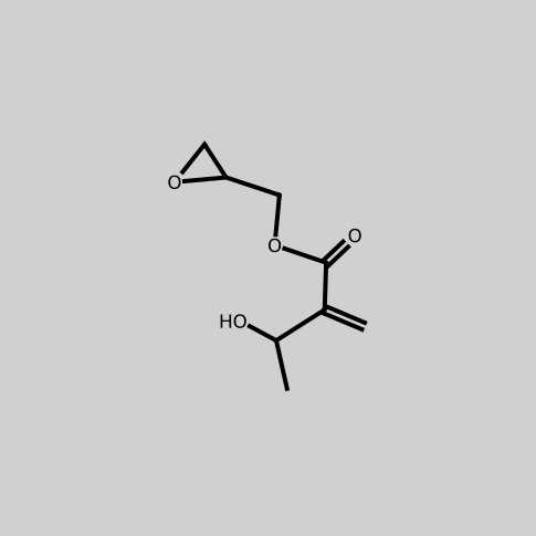 C=C(C(=O)OCC1CO1)C(C)O